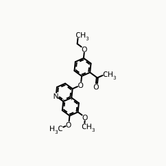 CCOc1ccc(Oc2ccnc3cc(OC)c(OC)cc23)c(C(C)=O)c1